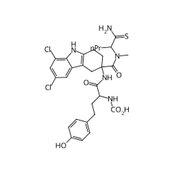 CCCC(C(N)=S)N(C)C(=O)C1(NC(=O)C(CCc2ccc(O)cc2)NC(=O)O)CCc2[nH]c3c(Cl)cc(Cl)cc3c2C1